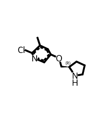 Cc1cc(OC[C@H]2CCCN2)cnc1Cl